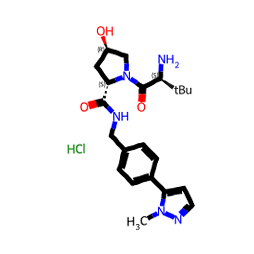 Cl.Cn1nccc1-c1ccc(CNC(=O)[C@@H]2C[C@@H](O)CN2C(=O)[C@@H](N)C(C)(C)C)cc1